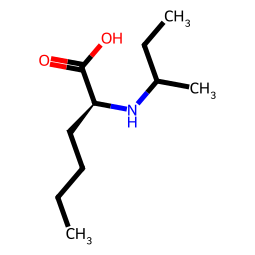 CCCC[C@H](NC(C)CC)C(=O)O